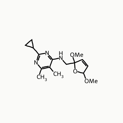 COC1C=CC(CNc2nc(C3CC3)nc(C)c2C)(OC)O1